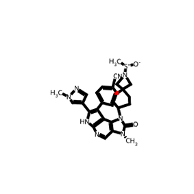 Cn1cc(-c2[nH]c3ncc4c(c3c2-c2ccc(C#N)cc2)n(C2CCC3(CC2)CN([S+](C)[O-])C3)c(=O)n4C)cn1